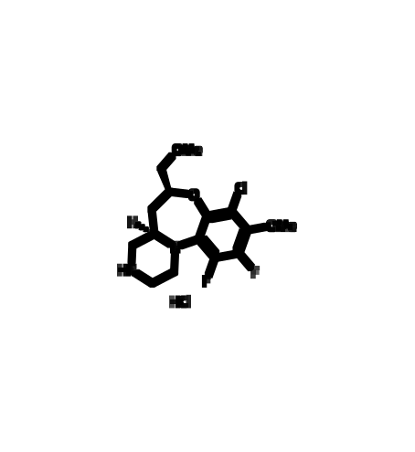 COC[C@@H]1C[C@@H]2CNCCN2c2c(F)c(F)c(OC)c(Cl)c2O1.Cl